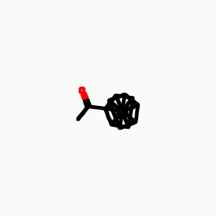 CC(=O)[C]12[CH]3[CH]4[CH]5[CH]1[Mn]45321678[CH]2[CH]1[CH]6[CH]7[CH]28